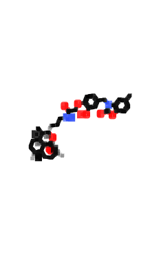 Cc1ccc2oc(=O)n(Cc3ccc(OCC(=O)NCCC[C@@H]4O[C@@H]5O[C@]6(C)CC[C@H]7[C@H](C)CC[C@@H]([C@H]4C)[C@@]57OO6)c(O)c3)c2c1